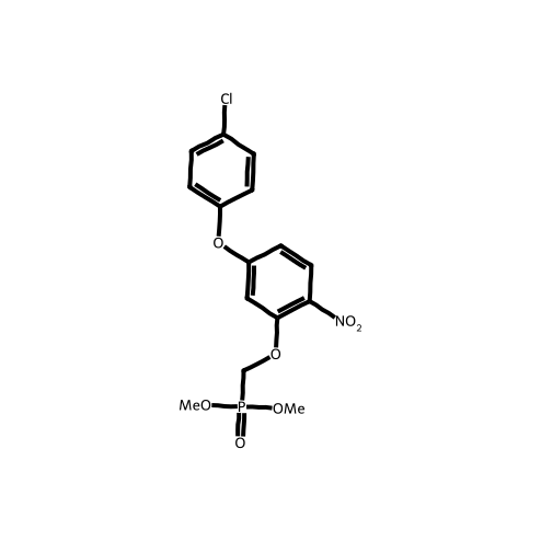 COP(=O)(COc1cc(Oc2ccc(Cl)cc2)ccc1[N+](=O)[O-])OC